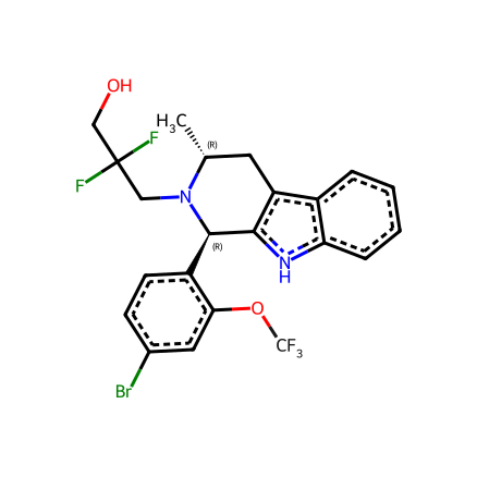 C[C@@H]1Cc2c([nH]c3ccccc23)[C@@H](c2ccc(Br)cc2OC(F)(F)F)N1CC(F)(F)CO